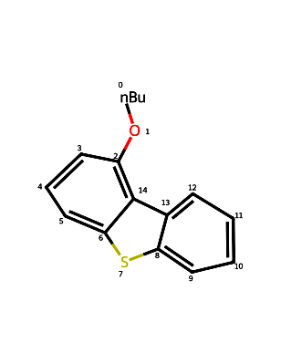 CCCCOc1cccc2sc3ccccc3c12